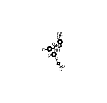 COc1cc(NC(C(=O)N2CCc3ccc(OC(F)(F)F)cc32)c2ccc(Cl)cc2)cc(OC[C@H]2C[C@@H](C(=O)OC)C2)c1